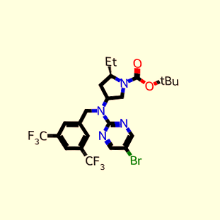 CC[C@@H]1CC(N(Cc2cc(C(F)(F)F)cc(C(F)(F)F)c2)c2ncc(Br)cn2)CN1C(=O)OC(C)(C)C